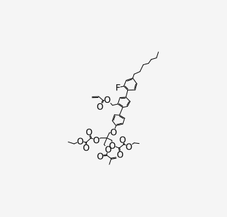 C=CC(=O)OCc1cc(-c2ccc(CCCCCCC)cc2F)ccc1-c1ccc(OCC(COC(=O)C(=C)C)(COC(=O)C(=O)OCC)COC(=O)C(=O)OCC)cc1